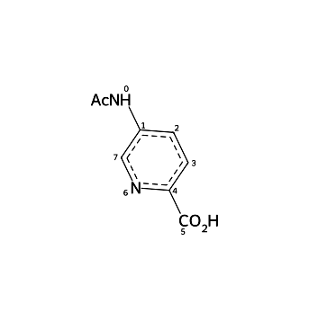 CC(=O)Nc1ccc(C(=O)O)nc1